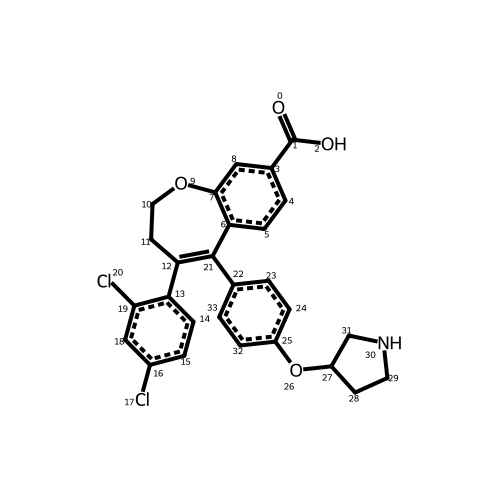 O=C(O)c1ccc2c(c1)OCCC(c1ccc(Cl)cc1Cl)=C2c1ccc(OC2CCNC2)cc1